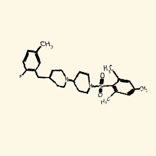 Cc1cc(C)c(S(=O)(=O)N2CCC(N3CCC(Cc4cc(C)ccc4F)CC3)CC2)c(C)c1